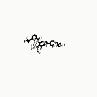 CC(C)(O)c1c(NC(=O)c2cccc(C3CC3(F)F)n2)cn2cc(C3CCN(CC4(O)CNC4)CC3)nc2c1F